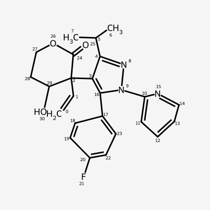 C=CC1(c2c(C(C)C)nn(-c3ccccn3)c2-c2ccc(F)cc2)C(=O)OCCC1O